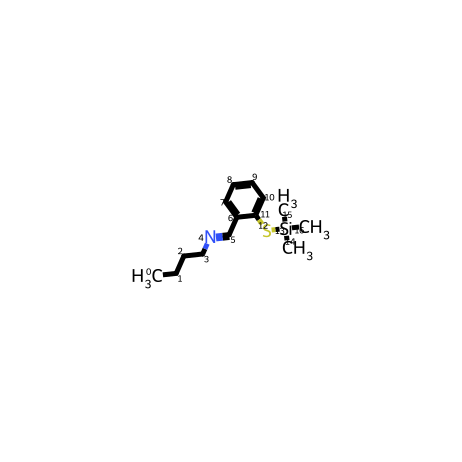 CCCCN=Cc1ccccc1S[Si](C)(C)C